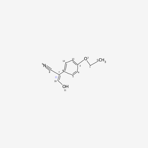 CCOc1ccc(/C(C#N)=C\O)cc1